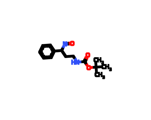 CC(C)(C)OC(=O)NCCC(N=O)c1ccccc1